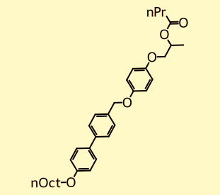 CCCCCCCCOc1ccc(-c2ccc(COc3ccc(OCC(C)OC(=O)CCC)cc3)cc2)cc1